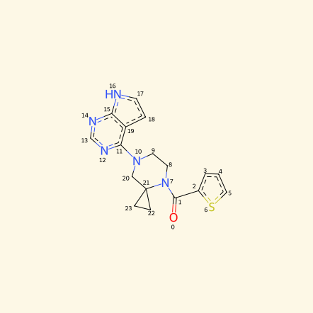 O=C(c1cccs1)N1CCN(c2ncnc3[nH]ccc23)CC12CC2